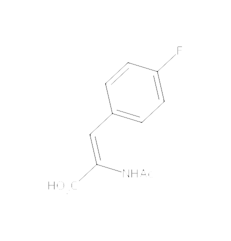 CC(=O)N/C(=C\c1ccc(F)cc1)C(=O)O